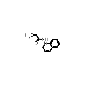 C=CC(=O)NN1CC=Cc2ccccc21